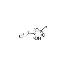 CC(=O)OC(O)CCCl